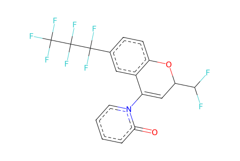 O=c1ccccn1C1=CC(C(F)F)Oc2ccc(C(F)(F)C(F)(F)C(F)(F)F)cc21